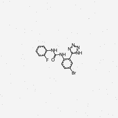 O=C(Nc1ccccc1F)Nc1ccc(Br)cc1-c1nnn[nH]1